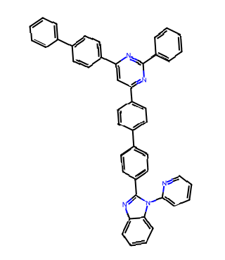 c1ccc(-c2ccc(-c3cc(-c4ccc(-c5ccc(-c6nc7ccccc7n6-c6ccccn6)cc5)cc4)nc(-c4ccccc4)n3)cc2)cc1